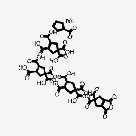 O=C(O)C1CC(C(=O)O)(C(=O)O)CC1C(=O)O.O=C(O)C1CC(C(=O)O)(C(=O)O)CC1C(=O)O.O=C(O)C1CC(C(=O)O)(C(=O)O)CC1C(=O)O.O=C([O-])C1CCCC1.O=C1OC(=O)C2CC3(CC12)C(=O)OC3=O.[Na+]